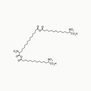 O=C(CCCCCCCCCCCCC(C(=O)OC(=O)CCCCCCCCCCCC(C(=O)O)[N+](=O)[O-])[N+](=O)[O-])OC(=O)CCCCCCCCCCCC(C(=O)O)[N+](=O)[O-]